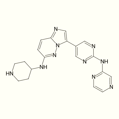 c1cnc(Nc2ncc(-c3cnc4ccc(NC5CCNCC5)nn34)cn2)cn1